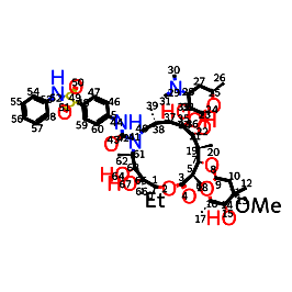 CC[C@H]1OC(=O)[C@H](C)[C@@H](O[C@H]2C[C@@](C)(OC)[C@@H](O)[C@H](C)O2)[C@H](C)[C@@H](O[C@@H]2O[C@H](C)C[C@H](N(C)C)[C@H]2O)[C@](C)(O)C[C@@H](C)CN(C(=O)Nc2ccc(S(=O)(=O)Nc3ccccc3)cc2)[C@H](C)[C@@H](O)[C@]1(C)O